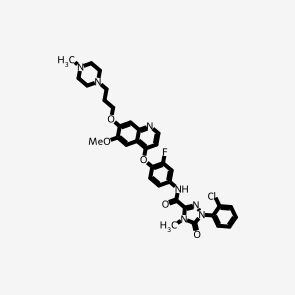 COc1cc2c(Oc3ccc(NC(=O)c4nn(-c5ccccc5Cl)c(=O)n4C)cc3F)ccnc2cc1OCCCN1CCN(C)CC1